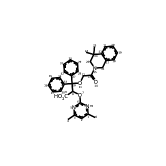 Cc1cc(C)nc(OC(C(=O)O)C(OCC(=O)N2Cc3ccccc3C(C)(C)C2)(c2ccccc2)c2ccccc2)n1